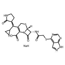 O=C(CSc1ncnc2[nH]ncc12)N[C@@H]1C(=O)N2C(C(=O)O)=C(C(=C3CCNC3=O)C3CC3)CS[C@H]12.[NaH]